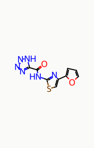 O=C(Nc1nc(-c2ccco2)cs1)c1nnn[nH]1